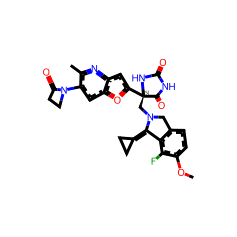 COc1ccc2c(c1F)C(=C1CC1)N(C[C@@]1(c3cc4nc(C)c(N5CCC5=O)cc4o3)NC(=O)NC1=O)C2